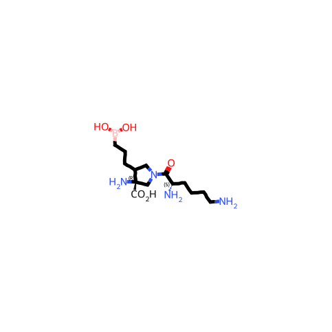 NCCCC[C@H](N)C(=O)N1CC(CCCB(O)O)[C@](N)(C(=O)O)C1